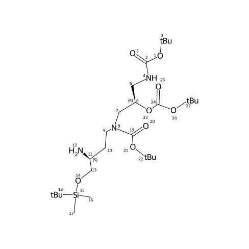 CC(C)(C)OC(=O)NC[C@H](CN(CC[C@H](N)CO[Si](C)(C)C(C)(C)C)C(=O)OC(C)(C)C)OC(=O)OC(C)(C)C